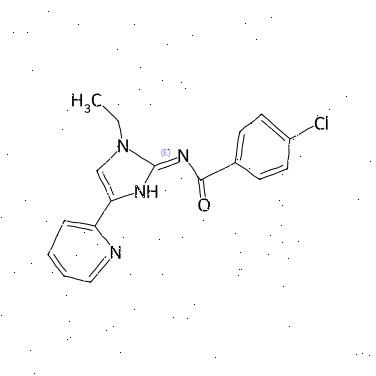 CCn1cc(-c2ccccn2)[nH]/c1=N\C(=O)c1ccc(Cl)cc1